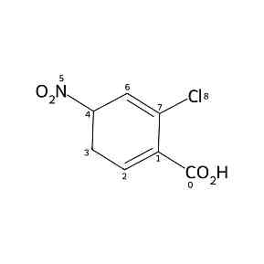 O=C(O)C1=CCC([N+](=O)[O-])C=C1Cl